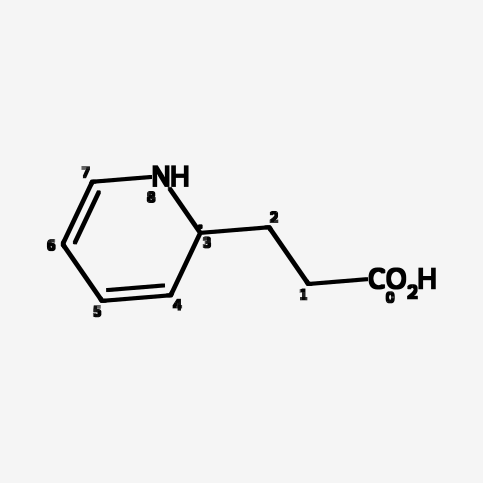 O=C(O)CC[C]1C=CC=CN1